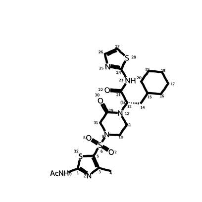 CC(=O)Nc1nc(C)c(S(=O)(=O)N2CCN([C@@H](CC3CCCCC3)C(=O)Nc3nccs3)C(=O)C2)s1